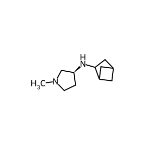 CN1CC[C@H](NC2CC3CC2C3)C1